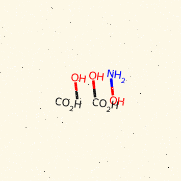 NO.O=C(O)O.O=C(O)O